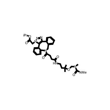 CNC(=O)N(C)COC(C)(C)CCNC(=O)CCC(=O)N1Cc2ccccc2-c2nnn(CC(=O)OC(C)C)c2-c2ccccc21